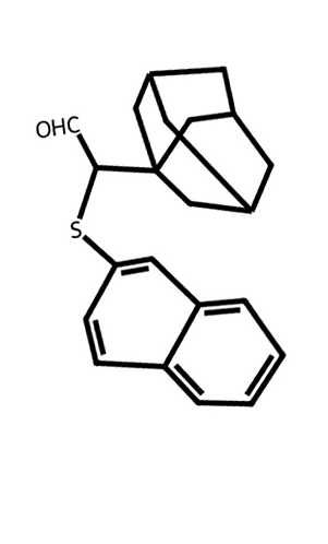 O=CC(Sc1ccc2ccccc2c1)C12CC3CC(CC(C3)C1)C2